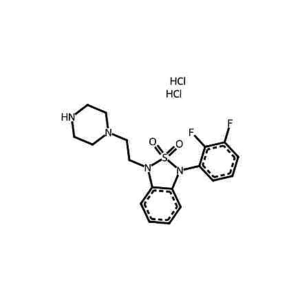 Cl.Cl.O=S1(=O)N(CCN2CCNCC2)c2ccccc2N1c1cccc(F)c1F